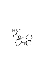 CNC1CCC2(CCCC(N3CCCC3)C2Cc2ccccc2)O1